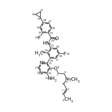 C/C=C/CN(C)CCOc1c(N)ncnc1-c1cc(F)cc(NC(=O)c2ccc(C3CC3)cc2F)c1C